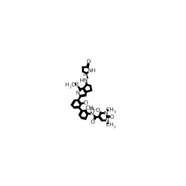 COc1nc(-c2cccc(-c3cccc(NC(=O)c4cn(C)c(=O)n(C)c4=O)c3C)c2Cl)cc2c1C(NC[C@H]1CCC(=O)N1)CC2